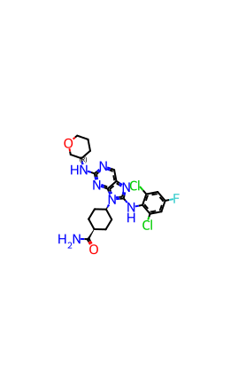 NC(=O)[C@H]1CC[C@@H](n2c(Nc3c(Cl)cc(F)cc3Cl)nc3cnc(N[C@@H]4CCCOC4)nc32)CC1